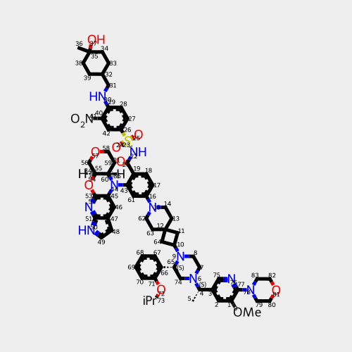 COc1cc([C@H](C)N2CCN(C3CC4(CCN(c5ccc(C(=O)NS(=O)(=O)c6ccc(NCC7CCC(C)(O)CC7)c([N+](=O)[O-])c6)c(N6c7cc8cc[nH]c8nc7O[C@H]7COCC[C@@H]76)c5)CC4)C3)[C@@H](c3ccccc3OC(C)C)C2)cnc1N1CCOCC1